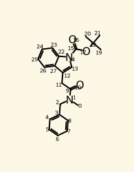 CN(Cc1ccccc1)C(=O)Cc1cn(C(=O)OC(C)(C)C)c2ccccc12